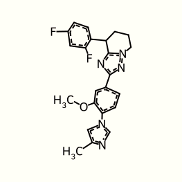 COc1cc(-c2nc3n(n2)CCCC3c2ccc(F)cc2F)ccc1-n1cnc(C)c1